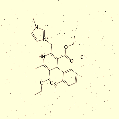 CCOC(=O)C1=C(C)NC(C[n+]2ccn(C)c2)=C(C(=O)OCC)C1c1ccccc1SC.[Cl-]